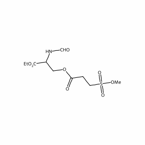 CCOC(=O)C(COC(=O)CCS(=O)(=O)OC)NC=O